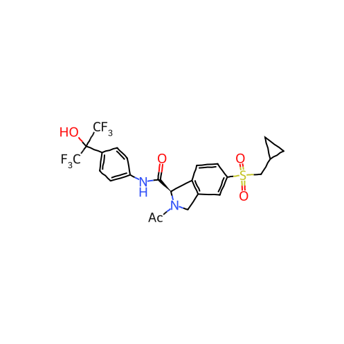 CC(=O)N1Cc2cc(S(=O)(=O)CC3CC3)ccc2[C@@H]1C(=O)Nc1ccc(C(O)(C(F)(F)F)C(F)(F)F)cc1